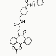 CC(=O)OC1c2ccccc2C(=O)N(CCC(=O)NCC2CCN(C(=O)NCc3ccccc3)CC2)c2ccccc21